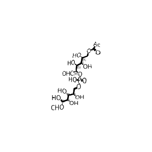 CC(=O)C(=O)OC[C@@H](O)[C@@H](O)[C@H](O)[C@H](C=O)OP(=O)(O)OC[C@@H](O)[C@@H](O)[C@H](O)[C@@H](O)C=O